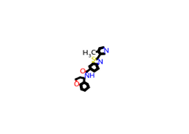 Cc1ccncc1-c1nc2ccc(C(=O)NC3CCOc4ccccc43)cc2s1